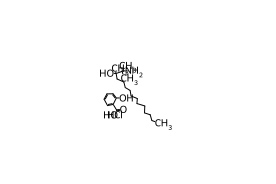 CCCCCCCCCCCCC(C)(O)C(C)(C)N.Cl.O=C(O)c1ccccc1O